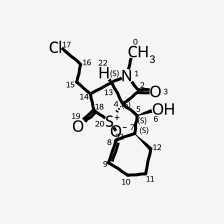 CN1C(=O)[C@@]2([C@@H](O)[C@@H]3C=CCCC3)[C@@H]1C(CCCl)C(=O)[S+]2[O-]